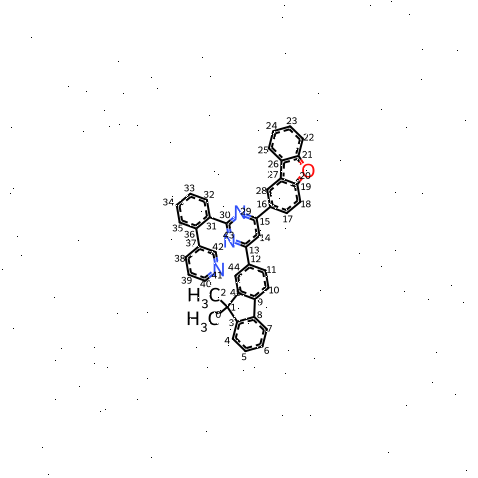 CC1(C)c2ccccc2-c2ccc(-c3cc(-c4ccc5oc6ccccc6c5c4)nc(-c4ccccc4-c4cccnc4)n3)cc21